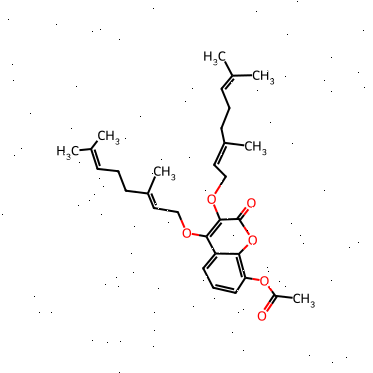 CC(=O)Oc1cccc2c(OC/C=C(\C)CCC=C(C)C)c(OC/C=C(\C)CCC=C(C)C)c(=O)oc12